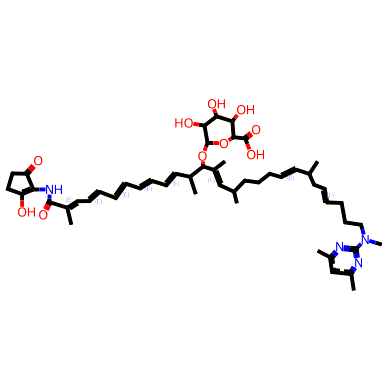 C\C(=C/C=C/C=C/C=C/C=C/C(C)C(OC1OC(C(=O)O)C(O)C(O)C1O)/C(C)=C/C(C)CCC/C=C/C(C)C/C=C/CCCN(C)c1nc(C)cc(C)n1)C(=O)NC1=C(O)CCC1=O